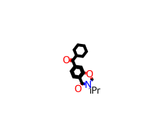 CC(C)N1COc2cc(C(=O)C3CCCCC3)ccc2C1=O